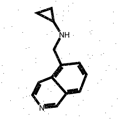 c1cc(CNC2CC2)c2ccncc2c1